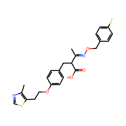 C/C(=N\OCc1ccc(F)cc1)C(Cc1ccc(OCCc2scnc2C)cc1)C(=O)O